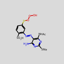 CSc1nc(N)c(/N=N/c2cc(SOOO)ccc2S(=O)(=O)O)c(NC(C)=O)n1